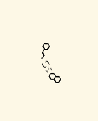 O=C(C=Cc1ccc(F)cc1)N1CCN(S(=O)(=O)c2ccc3ccccc3c2)CC1